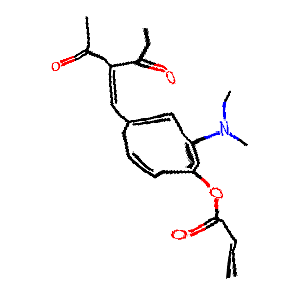 C=CC(=O)Oc1ccc(C=C(C(C)=O)C(C)=O)cc1N(C)C